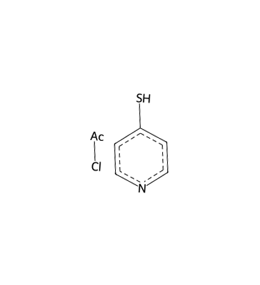 CC(=O)Cl.Sc1ccncc1